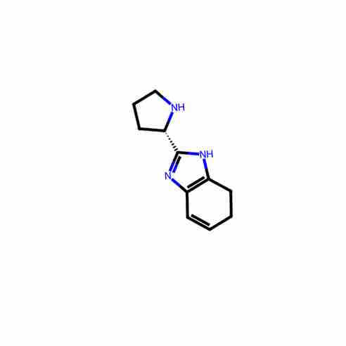 C1=Cc2nc([C@@H]3CCCN3)[nH]c2CC1